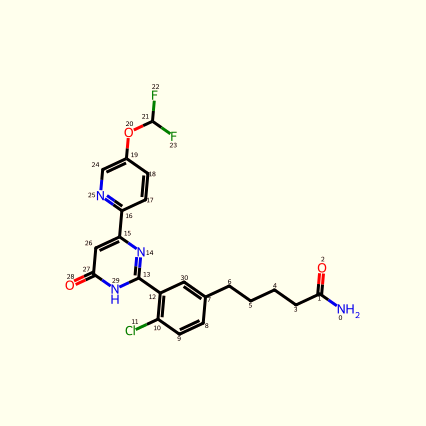 NC(=O)CCCCc1ccc(Cl)c(-c2nc(-c3ccc(OC(F)F)cn3)cc(=O)[nH]2)c1